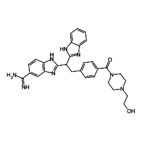 N=C(N)c1ccc2[nH]c(C(Cc3ccc(C(=O)N4CCN(CCO)CC4)cc3)c3nc4ccccc4[nH]3)nc2c1